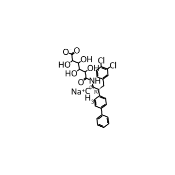 C[C@H](NC(=O)C(O)C(O)C(O)C(O)C(=O)[O-])[C@@H](Cc1ccc(Cl)c(Cl)c1)c1ccc(-c2ccccc2)cc1.[Na+]